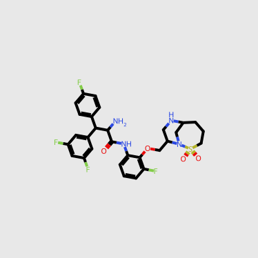 NC(C(=O)Nc1cccc(F)c1OCC1CNC2CCCS(=O)(=O)N1C2)C(c1ccc(F)cc1)c1cc(F)cc(F)c1